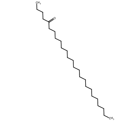 CCCCCCCCCCCCCCCCCCCCC(=O)CCCC